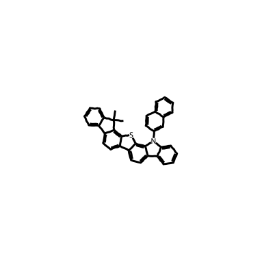 CC1(C)c2ccccc2-c2ccc3c(sc4c3ccc3c5ccccc5n(-c5ccc6ccccc6c5)c34)c21